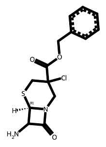 NC1C(=O)N2CC(Cl)(C(=O)OCc3ccccc3)CS[C@H]12